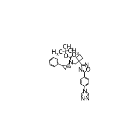 CC(C)(C)OC(=O)N(CC1(c2noc(-c3ccc(-n4cnnc4)cc3)n2)CCC1)[C@H]1CC1c1ccccc1